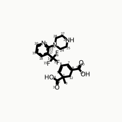 CC1(C(=O)O)C=CC=C(C(=O)O)C1.FC(F)(F)c1cccnc1N1CCNCC1